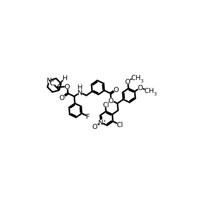 COc1ccc(C(Cc2c(Cl)c[n+]([O-])cc2Cl)OC(=O)c2cccc(CNC(C(=O)O[C@H]3CN4CCC3CC4)c3cccc(F)c3)c2)cc1OC